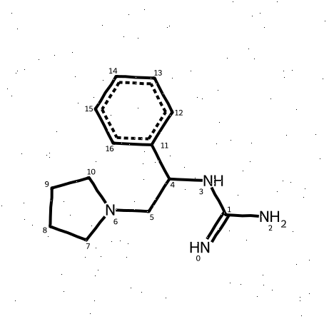 N=C(N)NC(CN1CCCC1)c1ccccc1